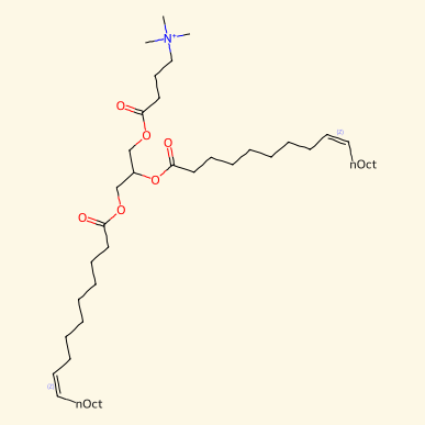 CCCCCCCC/C=C\CCCCCCCC(=O)OCC(COC(=O)CCC[N+](C)(C)C)OC(=O)CCCCCCC/C=C\CCCCCCCC